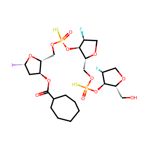 O=C(O[C@H]1C[C@H](I)O[C@@H]1COP(=O)(S)O[C@H]1[C@@H](F)CO[C@@H]1COP(=O)(S)O[C@H]1[C@@H](F)CO[C@@H]1CO)C1CCCCCC1